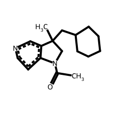 CC(=O)N1CC(C)(CC2CCCCC2)c2cnccc21